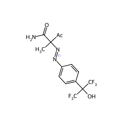 CC(=O)C(C)(/N=N/c1ccc(C(O)(C(F)(F)F)C(F)(F)F)cc1)C(N)=O